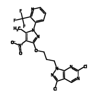 Cc1c([N+](=O)[O-])c(OCCCn2nc(Cl)c3cnc(Cl)nc32)nn1-c1cccnc1C(F)(F)F